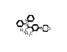 Cc1cc(N2CCOCC2)ccc1C(C)[SiH](c1ccccc1)c1ccccc1